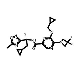 Cc1nc([C@](C)(CC2CC2)NC(=O)c2cnc(N3CC(F)(F)C3)c(OCC3CC3)n2)no1